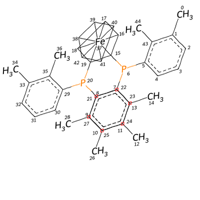 Cc1cccc(P(c2cccc(C)c2C)[C]23[CH]4[CH]5[CH]6[C]2(P(c2cccc(C)c2C)c2cccc(C)c2C)[Fe]54632789[CH]3[CH]2[CH]7[CH]8[CH]39)c1C